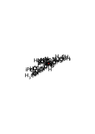 CC(C)Oc1ccccc1[C@H]1CN(C)CCN1C1CC2(CCN(c3ccc(C(=O)NS(=O)(=O)c4ccc(NC[C@H]5CC[C@](C)(O)CC5)c([N+](=O)[O-])c4)c(N4c5cc6c(F)c[nH]c6nc5O[C@H]5COCC[C@@H]54)c3)CC2)C1C